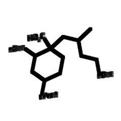 CCCCCCCCCCCCC(C)CC1(C(=O)O)CCC(CCCCC)CC1CCCCCCCCCC